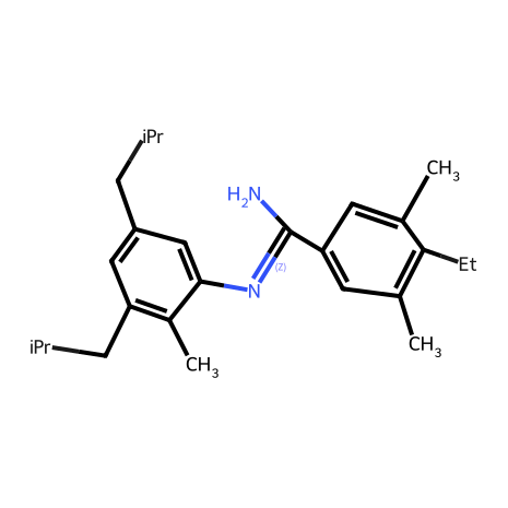 CCc1c(C)cc(/C(N)=N/c2cc(CC(C)C)cc(CC(C)C)c2C)cc1C